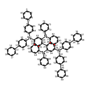 c1ccc(-c2ccc(N(c3ccc(-c4ccccc4)cc3)c3ccc(-c4ccc(N(c5ccc(-c6ccccc6)cc5)c5ccc(-c6ccccc6)cc5)cc4N(c4ccccc4)c4ccccc4)c(N(c4ccccc4)c4ccccc4)c3)cc2)cc1